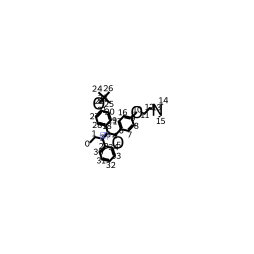 CC/C(=C(/C(=O)c1ccc(OCCN(C)C)cc1)c1ccc(OC(C)(C)C)cc1)c1ccccc1